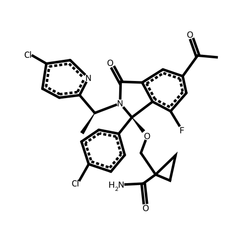 CC(=O)c1cc(F)c2c(c1)C(=O)N([C@@H](C)c1ccc(Cl)cn1)[C@@]2(OCC1(C(N)=O)CC1)c1ccc(Cl)cc1